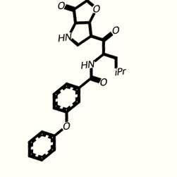 CC(C)CC(NC(=O)c1cccc(Oc2ccccc2)c1)C(=O)C1CNC2C(=O)COC12